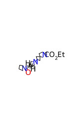 CCOC(=O)N1CCC2(CC(N3C[C@@H]4[C@H](C3)[C@H]4C(=O)N3CCCC3)C2)C1